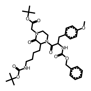 COc1ccc(CC(NC(=O)OCc2ccccc2)C(=O)N2CCN(CC(=O)OC(C)(C)C)C(=O)C2CCCCNC(=O)OC(C)(C)C)cc1